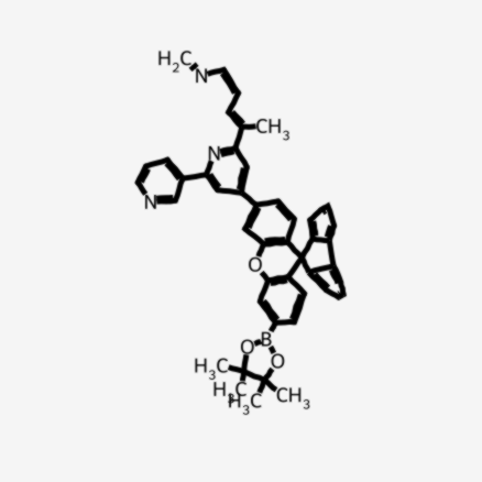 C=N/C=C\C=C(/C)c1cc(-c2ccc3c(c2)Oc2cc(B4OC(C)(C)C(C)(C)O4)ccc2C32c3ccccc3-c3ccccc32)cc(-c2cccnc2)n1